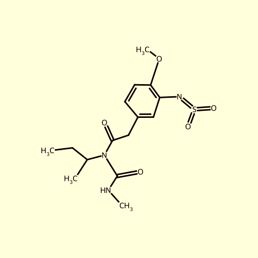 CCC(C)N(C(=O)Cc1ccc(OC)c(N=S(=O)=O)c1)C(=O)NC